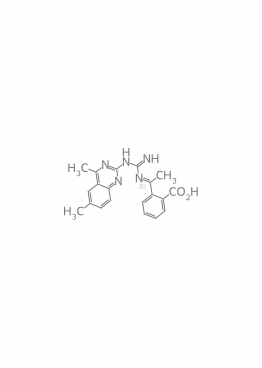 C/C(=N\C(=N)Nc1nc(C)c2cc(C)ccc2n1)c1ccccc1C(=O)O